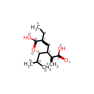 C=C(C(=O)O)C(C=C(CC)C(=O)O)CC(C)C